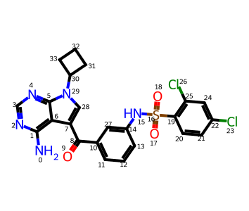 Nc1ncnc2c1c(C(=O)c1cccc(NS(=O)(=O)c3ccc(Cl)cc3Cl)c1)cn2C1CCC1